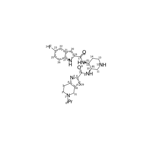 CC(C)N1CCc2nc(C(=O)N[C@@H]3CNCC[C@@H]3NC(=O)c3cc4cc(F)ccc4[nH]3)sc2C1